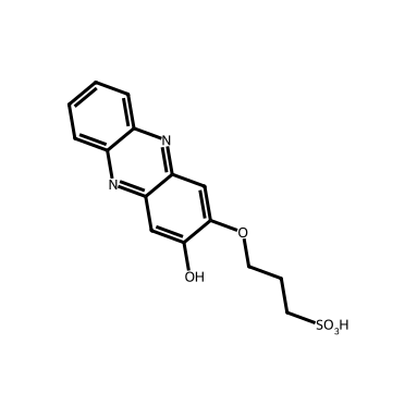 O=S(=O)(O)CCCOc1cc2nc3ccccc3nc2cc1O